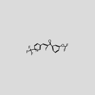 O=C(C(I)=Cc1ccc(C(F)(F)F)nc1)c1cccc(OC(F)F)c1